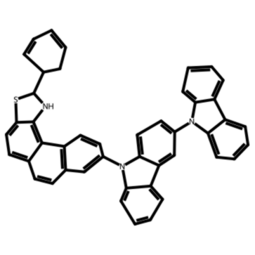 C1=CCC(C2Nc3c(ccc4ccc5cc(-n6c7ccccc7c7cc(-n8c9ccccc9c9ccccc98)ccc76)ccc5c34)S2)C=C1